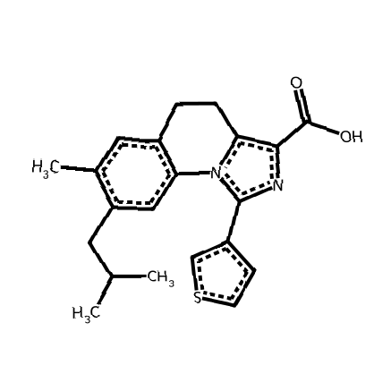 Cc1cc2c(cc1CC(C)C)-n1c(-c3ccsc3)nc(C(=O)O)c1CC2